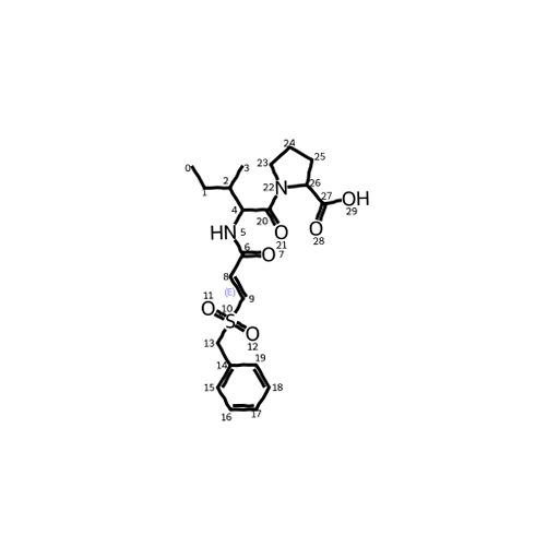 CCC(C)C(NC(=O)/C=C/S(=O)(=O)Cc1ccccc1)C(=O)N1CCCC1C(=O)O